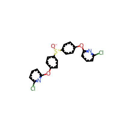 [O-][S+](c1ccc(Oc2cccc(Cl)n2)cc1)c1ccc(Oc2cccc(Cl)n2)cc1